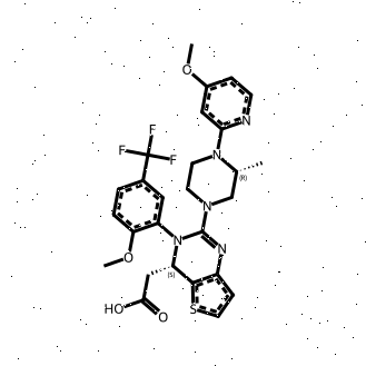 COc1ccnc(N2CCN(C3=Nc4ccsc4[C@H](CC(=O)O)N3c3cc(C(F)(F)F)ccc3OC)C[C@H]2C)c1